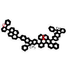 CC1(c2ccccc2)c2cc(-c3cccc(-c4c5ccccc5c(-c5ccc6cc7c(cc6c5)C(C)(c5ccccc5)c5ccccc5-7)c5c4ccc4ccccc45)c3-c3ccccc3)ccc2-c2cc3ccc(-c4ccc5ccc6c(-c7cccc8oc9ccccc9c78)ccc7ccc4c5c76)cc3cc21